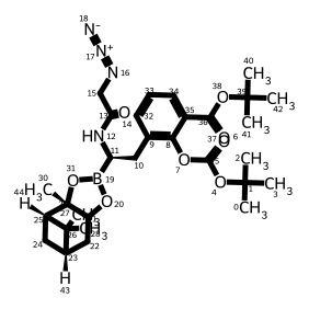 CC(C)(C)OC(=O)Oc1c(C[C@H](NC(=O)CN=[N+]=[N-])B2OC3C[C@@H]4C[C@@H](C4(C)C)[C@]3(C)O2)cccc1C(=O)OC(C)(C)C